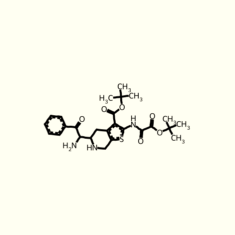 CC(C)(C)OC(=O)C(=O)Nc1sc2c(c1C(=O)OC(C)(C)C)CC(C(N)C(=O)c1ccccc1)NC2